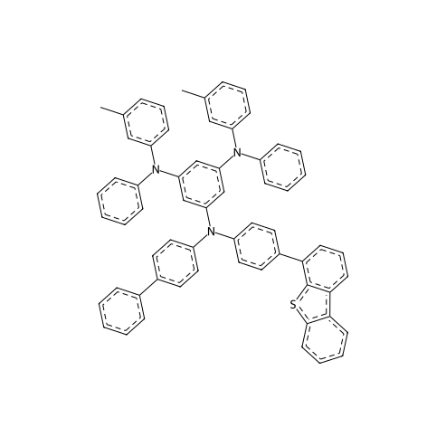 Cc1cccc(N(c2ccccc2)c2cc(N(c3ccc(-c4ccccc4)cc3)c3ccc(-c4cccc5c4sc4ccccc45)cc3)cc(N(c3ccccc3)c3cccc(C)c3)c2)c1